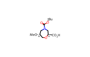 CO[C@H]1CO[C@H](C(=O)O)CN(C(=O)OC(C)(C)C)C1